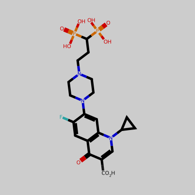 O=C(O)c1cn(C2CC2)c2cc(N3CCN(CCC(P(=O)(O)O)P(=O)(O)O)CC3)c(F)cc2c1=O